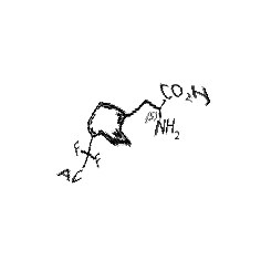 CC(=O)C(F)(F)c1ccc(C[C@H](N)C(=O)O)cc1